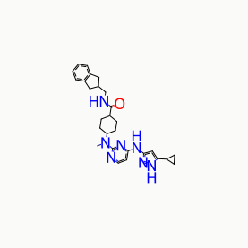 CN(c1nccc(Nc2cc(C3CC3)[nH]n2)n1)C1CCC(C(=O)NCC2Cc3ccccc3C2)CC1